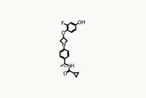 C[C@H](NC(=O)C1CC1)c1ccc(N2CC(Oc3ccc(O)cc3F)C2)cc1